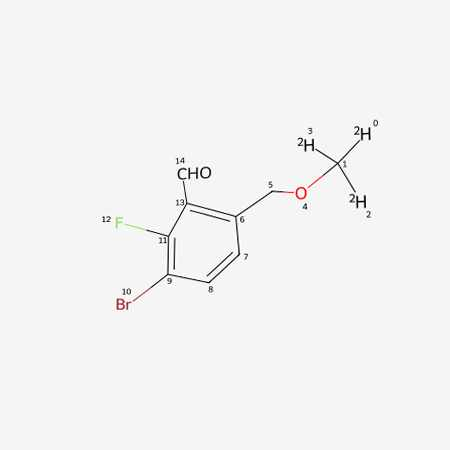 [2H]C([2H])([2H])OCc1ccc(Br)c(F)c1C=O